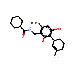 CCCCCc1cc(O)c(C2C=C(C)CCC2)c(O)c1CNC(=O)C1CCCCC1